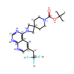 CC(C)(C)OC(=O)N1CCC2(CC1)CN(c1ncnc3ncc(CC(F)(F)F)cc13)C2